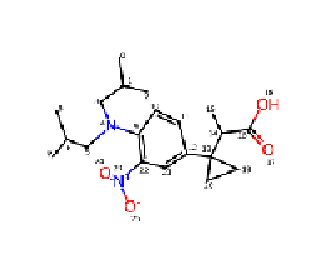 CC(C)CN(CC(C)C)c1ccc(C2(C(C)C(=O)O)CC2)cc1[N+](=O)[O-]